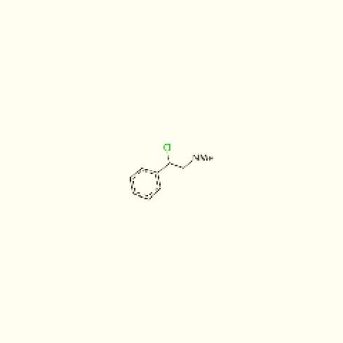 CNCC(Cl)c1ccccc1